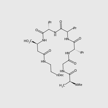 CCCCCCCCCCCCNC(=O)C[C@H](NC(=O)[C@@H](NC(=O)C(NC(=O)[C@@H](NC(=O)CNC(=O)[C@H](C)NC)C(C)C)C(C)C)C(C)C)C(=O)O